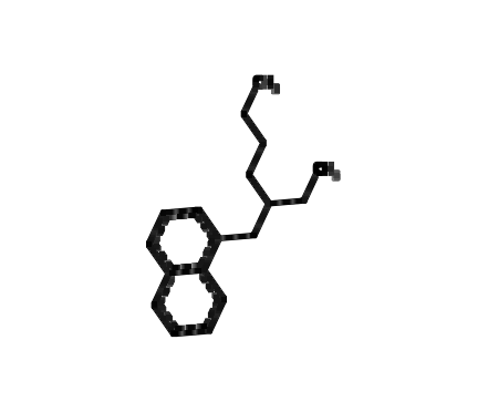 CCCCC(CC)Cc1cccc2ccccc12